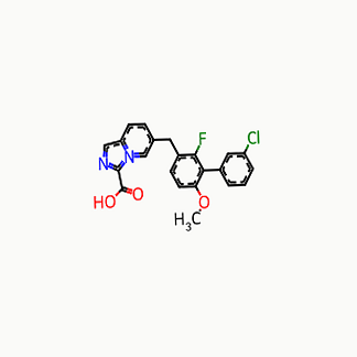 COc1ccc(Cc2ccc3cnc(C(=O)O)n3c2)c(F)c1-c1cccc(Cl)c1